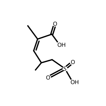 CC(=CC(C)CS(=O)(=O)O)C(=O)O